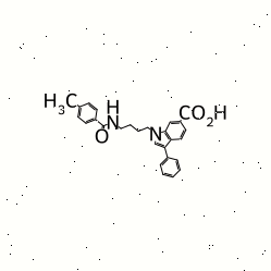 Cc1ccc(C(=O)NCCCCn2cc(-c3ccccc3)c3ccc(C(=O)O)cc32)cc1